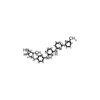 Cc1cccc(-c2nccc(Nc3ccnc(Nc4ccc(CN5C[C@H]6NC6[C@@H]5C)cc4)n3)n2)n1